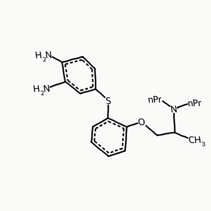 CCCN(CCC)C(C)COc1ccccc1Sc1ccc(N)c(N)c1